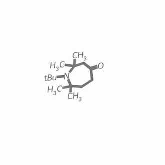 CC(C)(C)N1C(C)(C)CCC(=O)CC1(C)C